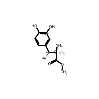 [2H][C@H](c1ccc(O)c(O)c1)[C@@]([2H])(N)C(=O)OC